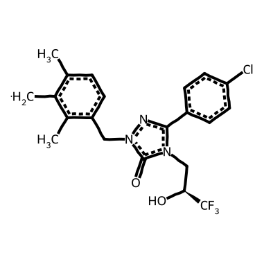 [CH2]c1c(C)ccc(Cn2nc(-c3ccc(Cl)cc3)n(C[C@H](O)C(F)(F)F)c2=O)c1C